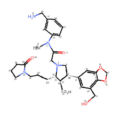 CCCCN(C(=O)CN1C[C@H](c2cc(CO)c3c(c2)OCO3)[C@@H](C(=O)O)[C@@H]1CCCN1CCCC1=O)c1cccc(CN)c1